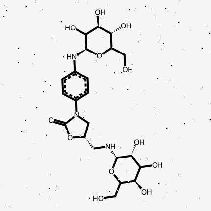 O=C1O[C@@H](CN[C@H]2OC(CO)[C@H](O)C(O)[C@H]2O)CN1c1ccc(N[C@@H]2OC(CO)[C@@H](O)[C@H](O)C2O)cc1